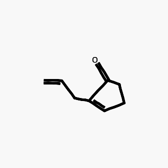 C=CCC1=CCCC1=O